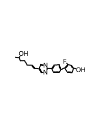 CC(O)CCCC=Cc1cnc(-c2ccc(-c3ccc(O)cc3F)cc2)nc1